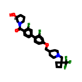 O=C(c1ccc(-c2ccc(OCC3CCN(CC4(C(F)(F)F)CCC4)CC3)cc2F)cc1F)N1CCC[C@H](O)C1